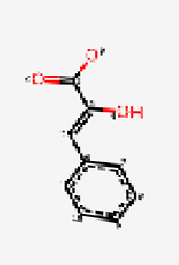 [O]C(=O)C(O)=Cc1ccccc1